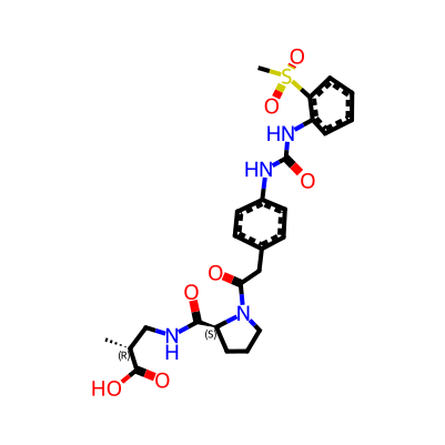 C[C@H](CNC(=O)[C@@H]1CCCN1C(=O)Cc1ccc(NC(=O)Nc2ccccc2S(C)(=O)=O)cc1)C(=O)O